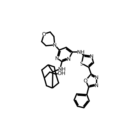 OC12CC3CC(C1)C(Nc1nc(Nc4ncc(-c5nnc(-c6ccccc6)o5)s4)cc(N4CCOCC4)n1)C(C3)C2